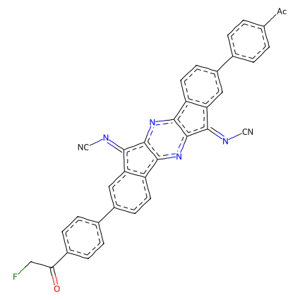 CC(=O)c1ccc(-c2ccc3c(c2)/c(=N\C#N)c2nc4c(nc23)/c(=N/C#N)c2cc(-c3ccc(C(=O)CF)cc3)ccc24)cc1